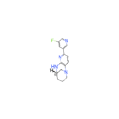 Fc1cncc(-c2ccc3c(n2)N[C@H]2CCCN3C2)c1